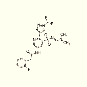 CN(C)C=NS(=O)(=O)c1cc(NC(=O)Cc2ccccc2F)cnc1-c1cnn(C(F)F)c1